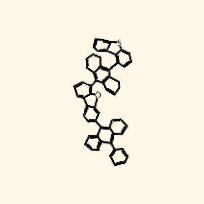 C1=Cc2c(c(-c3cccc4sc5ccccc5c34)c3c(c2-c2cccc4c2oc2cc(-c5c6ccccc6c(-c6ccccc6)c6ccccc56)ccc24)C=CCC3)CC1